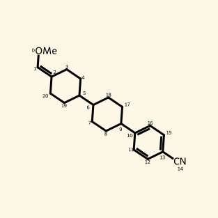 COC=C1CCC(C2CCC(c3ccc(C#N)cc3)CC2)CC1